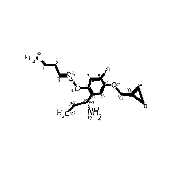 CCCCSOc1cc(F)c(OCC2CC2)cc1[C@H](N)CC